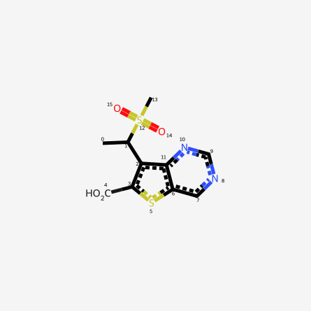 CC(c1c(C(=O)O)sc2cncnc12)S(C)(=O)=O